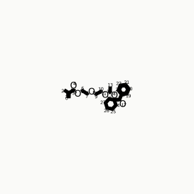 C=C(C)C(=O)OCCOCCOC(C)OC1(C(=O)c2ccccc2)CCCCC1